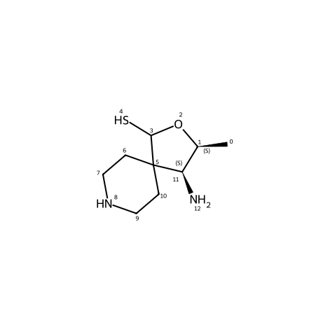 C[C@@H]1OC(S)C2(CCNCC2)[C@@H]1N